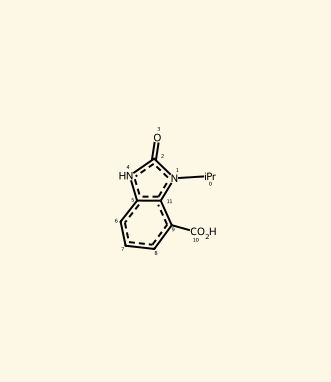 CC(C)n1c(=O)[nH]c2cccc(C(=O)O)c21